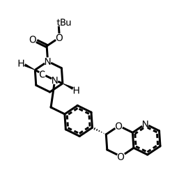 CC(C)(C)OC(=O)N1C[C@@H]2CC[C@H]1CN2Cc1ccc([C@H]2COc3cccnc3O2)cc1